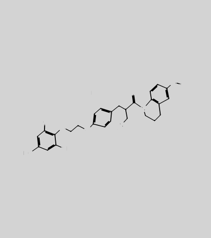 Cc1cc(Cl)c(OCCOc2ccc(CC(CN)C(=O)N3CCCc4cc(OC(F)(F)F)ccc43)cc2)c(Cl)c1.Cl